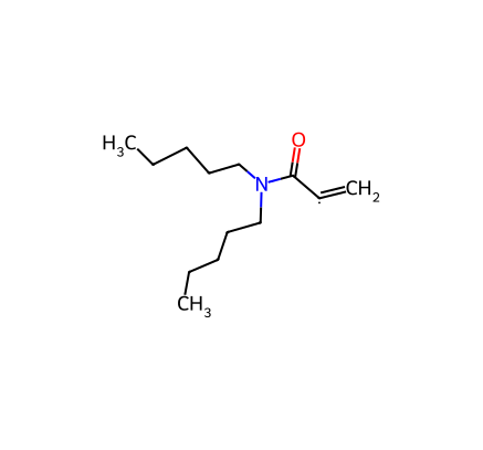 C=[C]C(=O)N(CCCCC)CCCCC